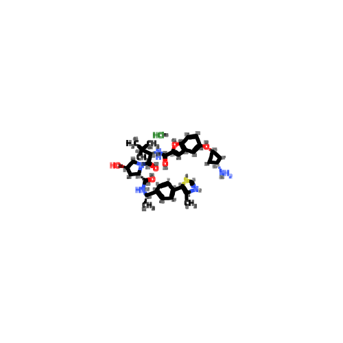 Cc1ncsc1-c1ccc([C@H](C)NC(=O)[C@@H]2C[C@@H](O)CN2C(=O)[C@@H](NC(=O)c2cc3cc(O[C@H]4C[C@@H](N)C4)ccc3o2)C(C)(C)C)cc1.Cl